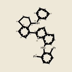 CC(C)c1cccc(C(C)C)c1Nc1cccc2ccc(-c3cccc4c3C(Nc3ccccc3)CCC4)nc12